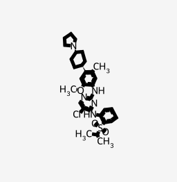 COc1cc([C@H]2CC[C@@H](N3CCCC3)CC2)c(C)cc1Nc1ncc(Cl)c(Nc2ccccc2S(=O)(=O)C(C)C)n1